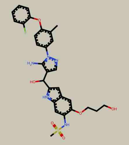 Cc1cc(-n2ncc(C(O)c3cc4cc(OCCCO)c(NS(C)(=O)=O)cc4[nH]3)c2N)ccc1Oc1ccccc1F